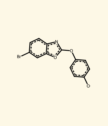 [O]c1ccc(Oc2nc3ccc(Br)cc3o2)cc1